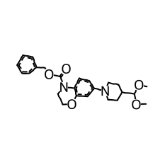 COC(OC)C1CCN(c2ccc3c(c2)OCCN3C(=O)OCc2ccccc2)CC1